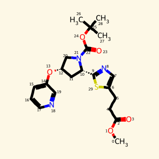 COC(=O)CCc1cnc([C@@H]2C[C@H](Oc3cccnc3)CN2C(=O)OC(C)(C)C)s1